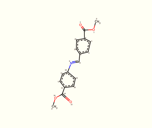 COC(=O)c1ccc(C=Nc2ccc(C(=O)OC)cc2)cc1